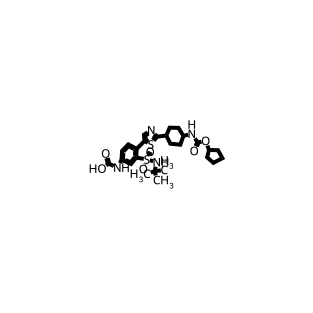 CC(C)(C)NS(=O)(=O)c1cc(NC(=O)O)ccc1-c1cnc(C2CCC(NC(=O)OC3CCCC3)CC2)s1